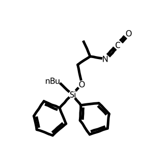 CCCC[Si](OCC(C)N=C=O)(c1ccccc1)c1ccccc1